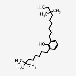 CCC(C)(C)CCCCCCc1cccc(CCCCCCC(C)(C)C)c1O